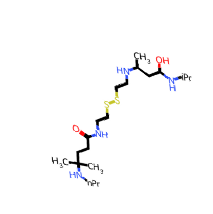 CCCNC(C)(C)CCC(=O)NCCSSCCNC(C)CC(O)NC(C)C